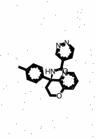 Cc1ccc([C@@]2(NC(=O)c3ccnnc3)CCOc3cccnc32)cc1